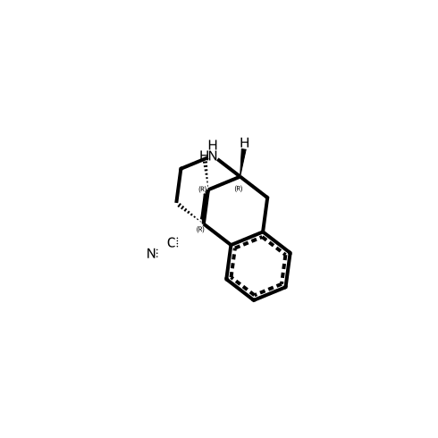 [C].[N].c1ccc2c(c1)C[C@H]1NCC[C@@]23CCCC[C@@H]13